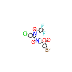 O=C1OC2(CCN(C(=O)c3cn(C(=O)c4cc(F)cc(F)c4)c4cc(Cl)ccc34)CC2)c2ccc(Br)cc21